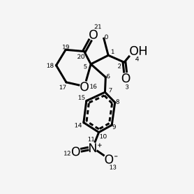 CC(C(=O)O)C1(Cc2ccc([N+](=O)[O-])cc2)OCCCC1=O